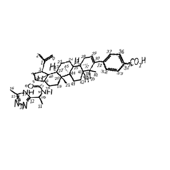 C=C(C)[C@@H]1CC[C@]2(C(=O)NC(C)c3nnc(C)[nH]3)CC[C@]3(C)[C@H](CC[C@@H]4[C@@]5(C)CC=C(c6ccc(C(=O)O)cc6)C(C)(C)[C@@H]5CC[C@]43C)[C@@H]12